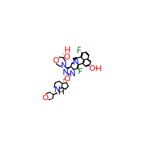 C#Cc1c(F)ccc2cc(O)cc(-c3ncc4c(N5CCOC[C@@](C)(O)C5)nc(OC[C@]56CCC[C@H]5N(CC5CCOCC5)CCC6)nc4c3F)c12